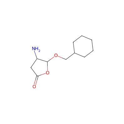 NC1CC(=O)OC1OCC1CCCCC1